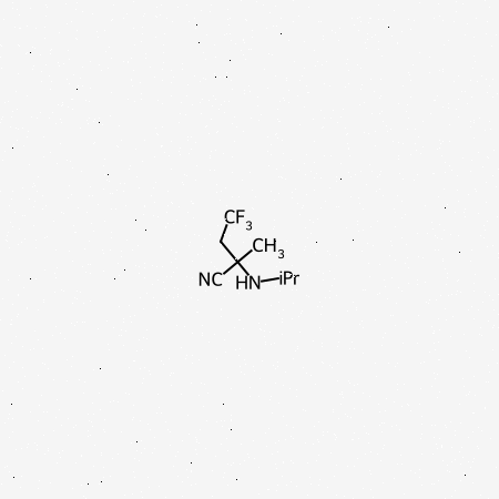 CC(C)NC(C)(C#N)CC(F)(F)F